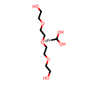 CCCC(O)O.OCCOCCOCCOCCO